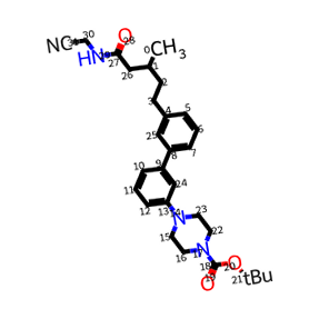 CC(CCc1cccc(-c2cccc(N3CCN(C(=O)OC(C)(C)C)CC3)c2)c1)CC(=O)NCC#N